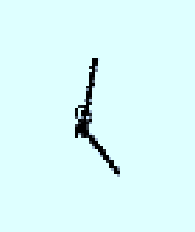 CCCCCCCCCCCCCCCCCC(=O)OCCN1CCN=C1CCCCCCCCCCCCCCCCC